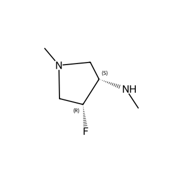 CN[C@H]1CN(C)C[C@H]1F